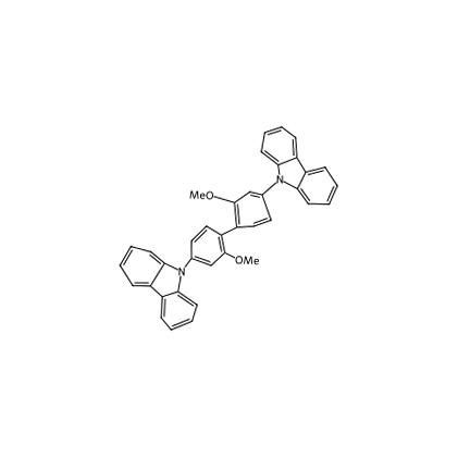 COc1cc(-n2c3ccccc3c3ccccc32)ccc1-c1ccc(-n2c3ccccc3c3ccccc32)cc1OC